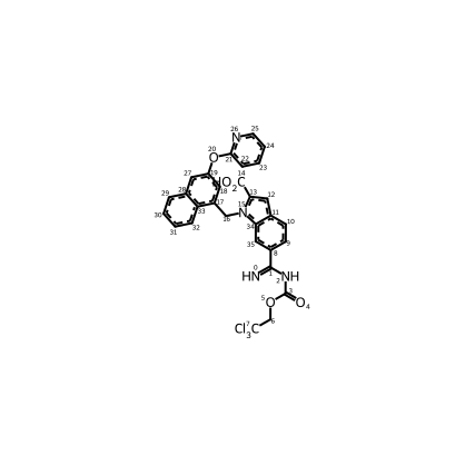 N=C(NC(=O)OCC(Cl)(Cl)Cl)c1ccc2cc(C(=O)O)n(Cc3cc(Oc4ccccn4)cc4ccccc34)c2c1